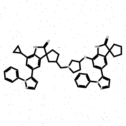 O=C1Nc2c(OC3CCN(CC4CCC5(C4)C(=O)Nc4c(C6CC6)cc(-c6ccnn6-c6ccccc6)cc45)C3)cc(-c3ccnn3-c3ccccc3)cc2C12CCCC2